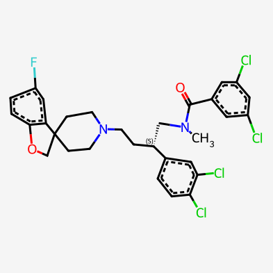 CN(C[C@@H](CCN1CCC2(CC1)COc1ccc(F)cc12)c1ccc(Cl)c(Cl)c1)C(=O)c1cc(Cl)cc(Cl)c1